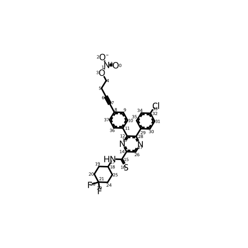 O=[N+]([O-])OCCC#Cc1ccc(-c2nc(C(=S)NC3CCC(F)(F)CC3)cnc2-c2ccc(Cl)cc2)cc1